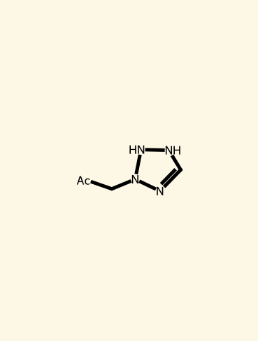 CC(=O)CN1N=CNN1